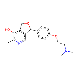 Cc1ncc2c(c1O)COC2c1ccc(OCCN(C)C)cc1